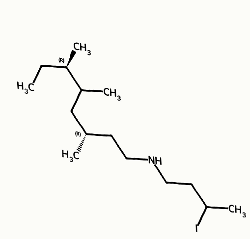 CC[C@@H](C)C(C)C[C@@H](C)CCNCCC(C)I